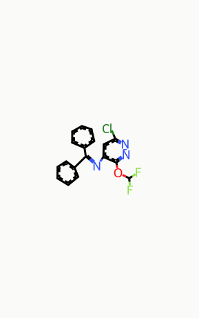 FC(F)Oc1nnc(Cl)cc1N=C(c1ccccc1)c1ccccc1